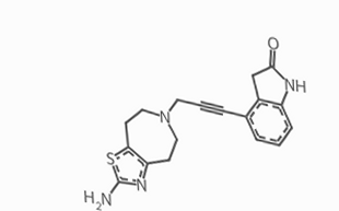 Nc1nc2c(s1)CCN(CC#Cc1cccc3c1CC(=O)N3)CC2